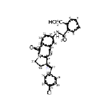 O=C(O)c1ccccc1C(=O)Nc1ccc2c(=O)n3c(nc2c1)/C(=C/c1ccc(Cl)cc1)CC3